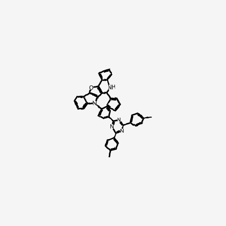 Cc1ccc(-c2nc(-c3ccc(C)cc3)nc(-c3ccc(-n4c5ccccc5c5oc6c(c54)C(c4ccccc4)Nc4ccccc4-6)cc3)n2)cc1